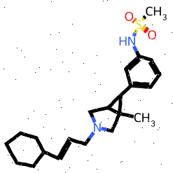 CC12CN(C/C=C/C3CCCCC3)CC1C2c1cccc(NS(C)(=O)=O)c1